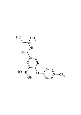 C[C@H](CO)NC(=O)c1cnc(Oc2ccc(C(F)(F)F)cc2)c(B(O)O)c1